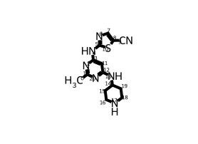 Cc1nc(Nc2ncc(C#N)s2)cc(NC2CCNCC2)n1